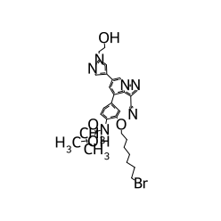 CC(C)(C)OC(=O)Nc1ccc(-c2cc(-c3cnn(CCO)c3)cn3ncc(C#N)c23)cc1OCCCCCCCBr